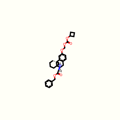 O=C(OCOc1ccc2c(c1)[C@]13CCCC[C@@H]1[C@H](C2)N(C(=O)OCc1ccccc1)CC3)OC1CCC1